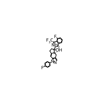 C[C@]12Cc3cnn(-c4ccc(F)cc4)c3C=C1CC[C@@]2(O)CCc1cccc(F)c1[C@H](N)C(F)(F)F